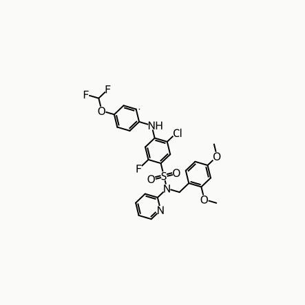 COc1ccc(CN(c2ccccn2)S(=O)(=O)c2cc(Cl)c(Nc3[c]cc(OC(F)F)cc3)cc2F)c(OC)c1